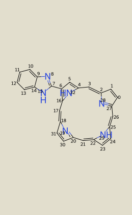 C1=Cc2cc3cc(-c4nc5ccccc5[nH]4)c(cc4nc(cc5ccc(cc1n2)[nH]5)C=C4)[nH]3